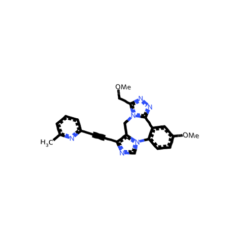 COCc1nnc2n1Cc1c(C#Cc3cccc(C)n3)ncn1-c1ccc(OC)cc1-2